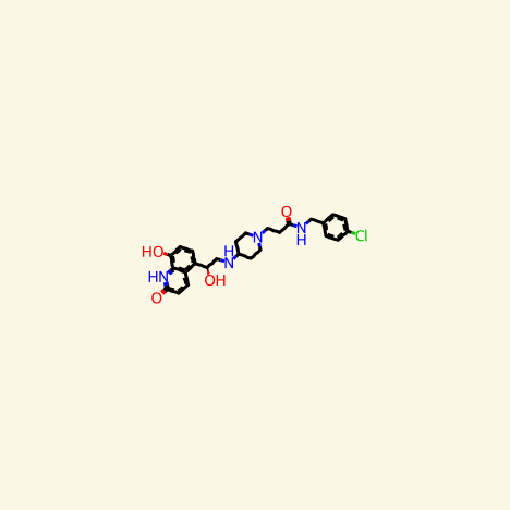 O=C(CCN1CCC(NC[C@@H](O)c2ccc(O)c3[nH]c(=O)ccc23)CC1)NCc1ccc(Cl)cc1